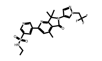 CCNS(=O)(=O)c1cncc(-c2cc(C)c3c(n2)C(C)(C)N(c2cnn(CC(F)(F)F)c2)C3=O)c1